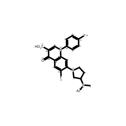 CC(=O)N(C)C1CCN(c2cc3c(cc2F)c(=O)c(C(=O)O)cn3-c2ccc(F)cc2)C1